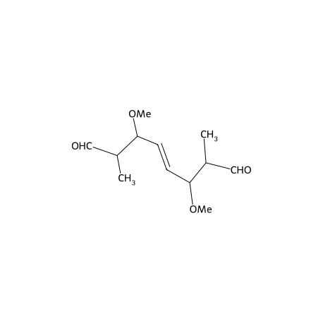 COC(/C=C/C(OC)C(C)C=O)C(C)C=O